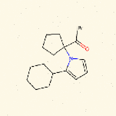 CC(C)C(=O)C1(n2cccc2C2CCCCC2)CCCC1